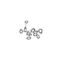 c1ccc(-c2cc(-c3ccccc3)cc(-c3nc(-c4ccccc4)nc(-c4cccc5c4c4ccc6ccccc6c4n5-c4ccccc4)n3)c2)cc1